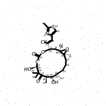 Cc1nc(C=C(Cl)[C@@H]2C[C@H]3O[C@@]3(C)CCC[C@H](C)[C@H](O)[C@@H](C)C(=O)C(C)(C)[C@@H](O)CC(=O)O2)cs1